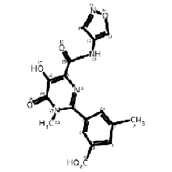 Cc1cc(C(=O)O)cc(-c2nc(C(=O)Nc3cnoc3)c(O)c(=O)n2C)c1